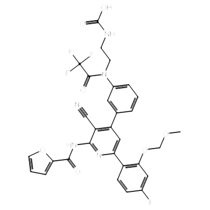 COCOc1cc(F)ccc1-c1cc(-c2cccc(N(CCNC(=O)O)C(=O)C(F)(F)F)c2)c(C#N)c(NC(=O)c2ccco2)n1